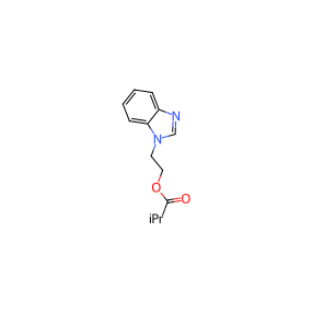 CC(C)C(=O)OCCn1cnc2ccccc21